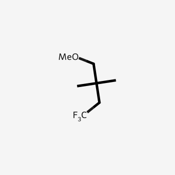 COCC(C)(C)CC(F)(F)F